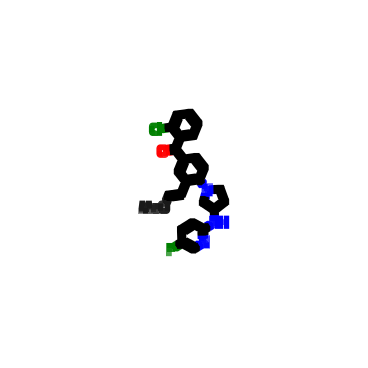 COC=Cc1cc(C(=O)c2ccccc2Cl)ccc1N1CCC(Nc2ccc(F)cn2)C1